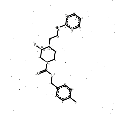 Cc1ccc(COC(=O)N2CC[C@H](CCNc3ncccn3)[C@H](F)C2)cc1